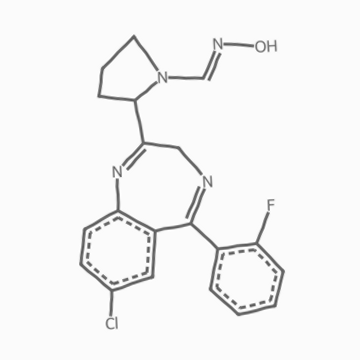 ON=CN1CCCC1C1=Nc2ccc(Cl)cc2C(c2ccccc2F)=NC1